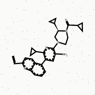 C=Cc1ccc2c(-c3cc(N)c(N4CCN(C(=O)C5CC5)[C@H](C5CC5)C4)nc3C3CC3)cccc2n1